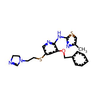 Cc1csc(Nc2ncc(SCCN3C=NCC3)cc2OCc2ccccc2)n1